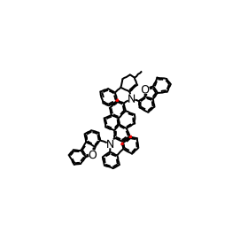 CC1C=C(N(c2ccc3ccc4c(N(c5ccccc5-c5ccccc5)c5cccc6c5oc5ccccc56)ccc5ccc2c3c54)c2cccc3c2oc2ccccc23)C(c2ccccc2)CC1